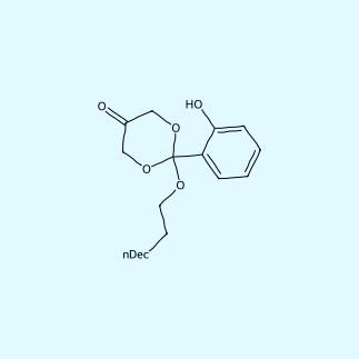 CCCCCCCCCCCCOC1(c2ccccc2O)OCC(=O)CO1